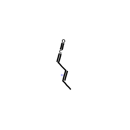 C/C=C/C=C=O